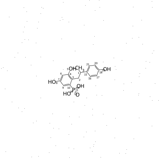 CC(Cc1c(O)cc(O)cc1P(=O)(O)O)c1ccc(O)cc1